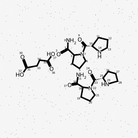 NC(=O)C1CCCN1C(=O)[C@@H]1CCCN1.NC(=O)C1CCCN1C(=O)[C@@H]1CCCN1.O=C(O)CCC(=O)O